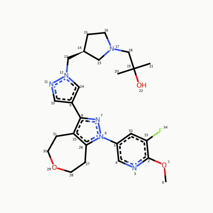 COc1ncc(-n2nc(-c3cnn(C[C@H]4CCN(CC(C)(C)O)C4)c3)c3c2CCOCC3)cc1F